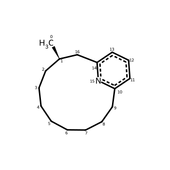 C[C@@H]1CCCCCCCCc2cccc(n2)C1